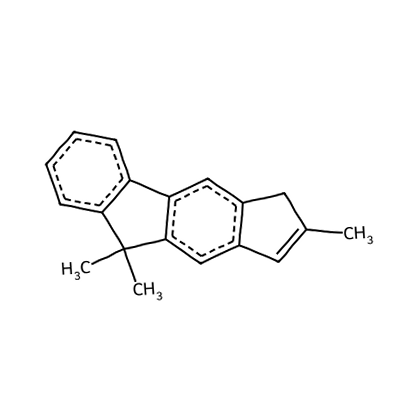 CC1=Cc2cc3c(cc2C1)-c1ccccc1C3(C)C